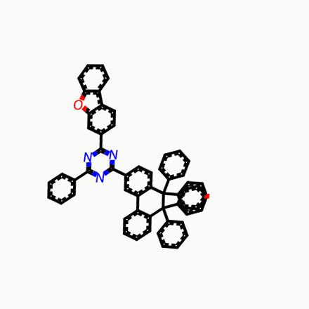 c1ccc(-c2nc(-c3ccc4c(c3)-c3ccccc3C(c3ccccc3)(c3ccccc3)C4(c3ccccc3)c3ccccc3)nc(-c3ccc4c(c3)oc3ccccc34)n2)cc1